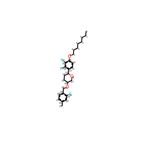 CCCCCCCCOc1ccc(C2CCC(OCc3ccc(C)cc3F)CO2)c(F)c1F